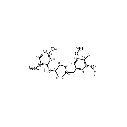 CCOc1cc(CN2CCC(Nc3nc(Cl)ncc3OC)CC2)cc(OCC)c1Cl